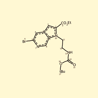 CCOC(=O)c1cc2cc(Br)ncc2n1CCNC(=O)OC(C)(C)C